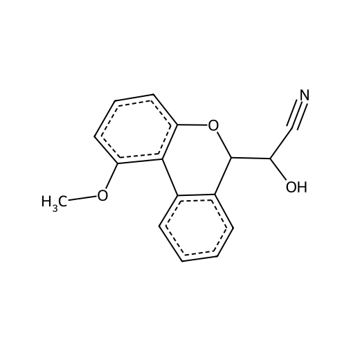 COc1cccc2c1-c1ccccc1C(C(O)C#N)O2